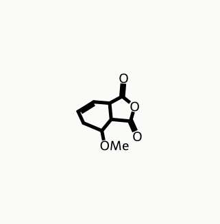 COC1CC=CC2C(=O)OC(=O)C12